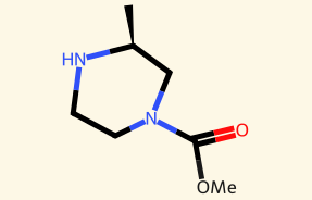 COC(=O)N1CCN[C@@H](C)C1